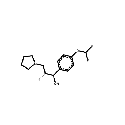 C[C@H](CN1CCCC1)[C@H](O)c1ccc(OC(F)F)cc1